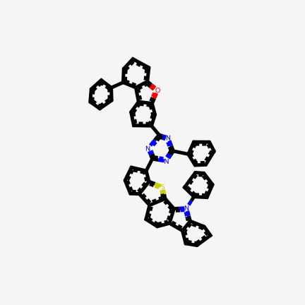 c1ccc(-c2nc(-c3ccc4c(c3)oc3cccc(-c5ccccc5)c34)nc(-c3cccc4c3sc3c4ccc4c5ccccc5n(-c5ccccc5)c43)n2)cc1